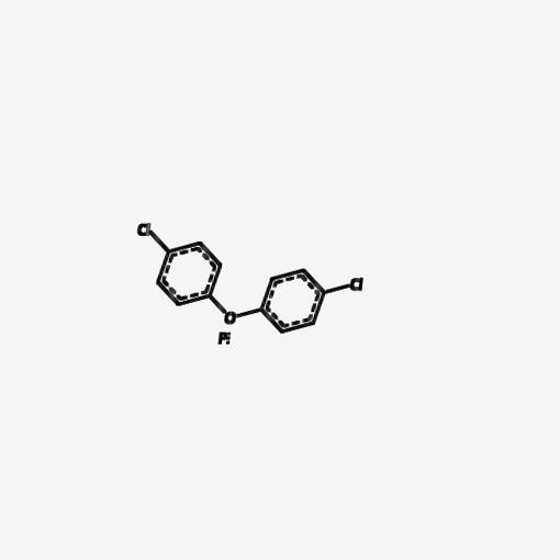 Clc1ccc(Oc2ccc(Cl)cc2)cc1.[P]